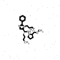 CCCC[C@@H](NN1CCCC1COC)c1cnc(-c2ccccc2)n1CCCC